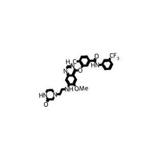 COc1cc2c(Oc3cc(C(=O)Nc4cccc(C(F)(F)F)c4)ccc3C)ncnc2cc1NCCN1CCNC(=O)C1